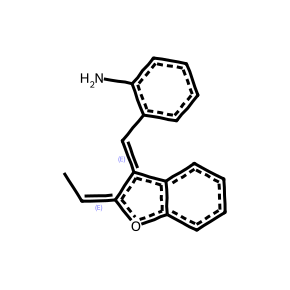 C/C=c1/oc2ccccc2/c1=C\c1ccccc1N